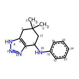 CC1(C)CC2=C(N=[N+]N2)C(Nc2ccccc2)C1